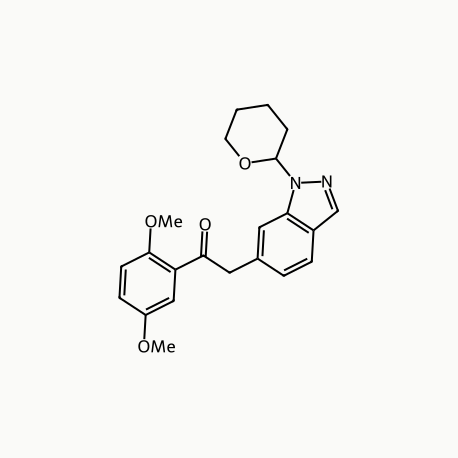 COc1ccc(OC)c(C(=O)Cc2ccc3cnn(C4CCCCO4)c3c2)c1